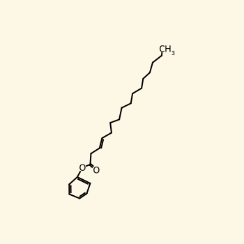 CCCCCCCCCCCCC=CCC(=O)Oc1ccccc1